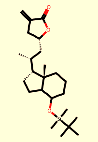 C=C1C[C@@H](C[C@@H](C)[C@H]2CCC3C(O[Si](C)(C)C(C)(C)C)CCC[C@]32C)OC1=O